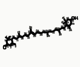 CC1=CC(=O)CC(C)(C)C1/C=C/C(C)=C/C=C/C(C)=C/C=C/C=C(C)/C=C/C=C(C)/C=C/C1=C(C)CC(O)CC1(C)C